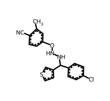 Cc1cc(ONNC(c2ccc(Cl)cc2)c2ccsc2)ccc1C#N